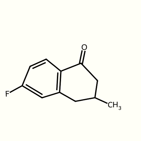 CC1CC(=O)c2ccc(F)cc2C1